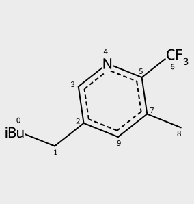 CCC(C)Cc1cnc(C(F)(F)F)c(C)c1